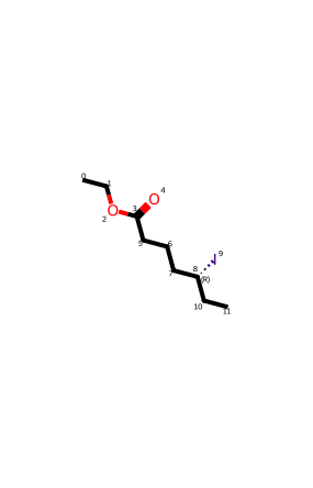 CCOC(=O)CCC[C@H](I)CC